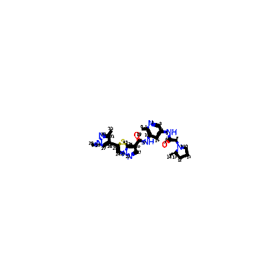 Cc1ncc(NC(=O)CN2CCC[C@H]2C)cc1NC(=O)c1cnn2cc(-c3cn(C)nc3C)sc12